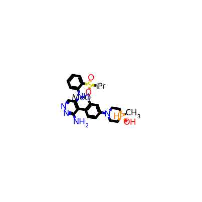 COc1cc(N2CC[PH](C)(O)CC2)ccc1-c1c(Nc2ccccc2S(=O)(=O)C(C)C)cnnc1N